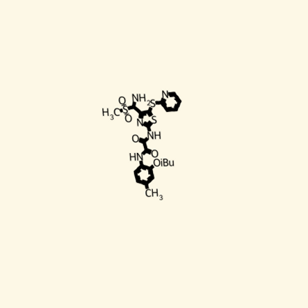 Cc1ccc(NC(=O)C(=O)Nc2nc(C(N)S(C)(=O)=O)c(Sc3ccccn3)s2)c(OCC(C)C)c1